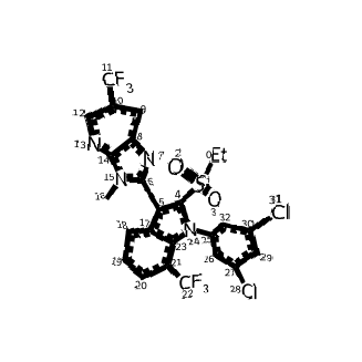 CCS(=O)(=O)c1c(-c2nc3cc(C(F)(F)F)cnc3n2C)c2cccc(C(F)(F)F)c2n1-c1cc(Cl)cc(Cl)c1